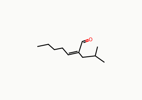 CCCCC=C(C=O)CC(C)C